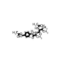 CC(C)N[C@H](C(=O)N[C@@H](C)C(=O)Nc1ccc(COC(C)O)cc1)C(C)C